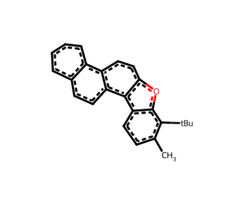 Cc1ccc2c(oc3ccc4c5ccccc5ccc4c32)c1C(C)(C)C